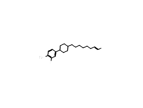 N#Cc1ccc(C2CCC(CCCCCCC=CF)CC2)cc1F